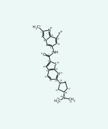 Cc1cn2cc(NC(=O)c3cc4ccc(N5CC[C@@H](N(C)C)C5)nc4s3)cc(F)c2n1